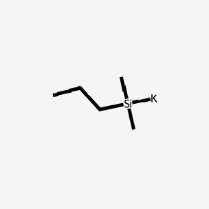 CCC[Si](C)(C)[K]